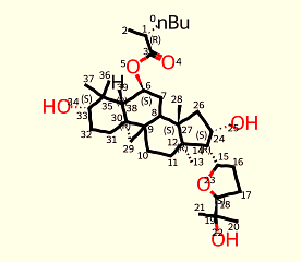 CCCC[C@@H](C)C(=O)O[C@H]1CC2C3(CC[C@]4(C)[C@@H](C5CC[C@@H](C(C)(C)O)O5)[C@@H](O)C[C@@]24C)C[C@@]32CC[C@H](O)C(C)(C)[C@H]12